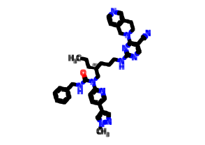 CCC[C@@H](CCCNc1ncc(C#N)c(N2CCc3cnccc3C2)n1)CN(C(=O)NCc1ccccc1)c1ccc(-c2cnn(C)c2)cn1